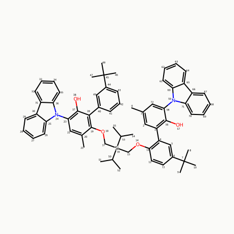 Cc1cc(-c2cc(C(C)(C)C)ccc2OC[Si](COc2c(C)cc(-n3c4ccccc4c4ccccc43)c(O)c2-c2cccc(C(C)(C)C)c2)(C(C)C)C(C)C)c(O)c(-n2c3ccccc3c3ccccc32)c1